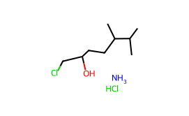 CC(C)C(C)CCC(O)CCl.Cl.N